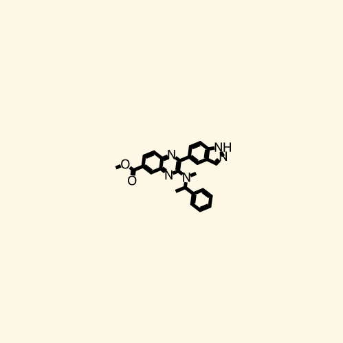 COC(=O)c1ccc2nc(-c3ccc4[nH]ncc4c3)c(N(C)C(C)c3ccccc3)nc2c1